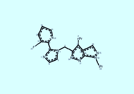 CCCc1c(Cn2ccnc2-c2ncccc2F)nnc2c1cnn2C(C)C